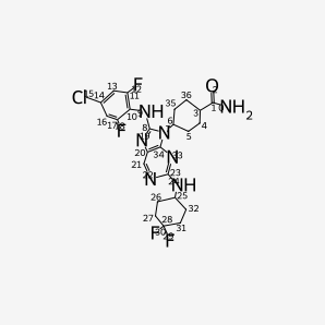 NC(=O)C1CCC(n2c(Nc3c(F)cc(Cl)cc3F)nc3cnc(NC4CCC(F)(F)CC4)nc32)CC1